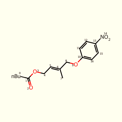 CCCCC(=O)OC/C=C(\C)COc1ccc([N+](=O)[O-])cc1